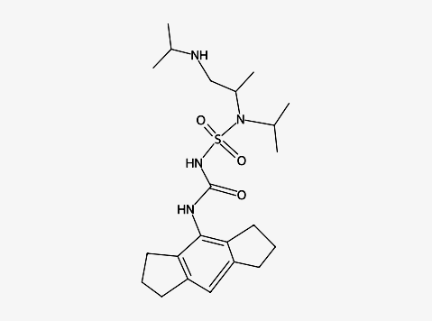 CC(C)NCC(C)N(C(C)C)S(=O)(=O)NC(=O)Nc1c2c(cc3c1CCC3)CCC2